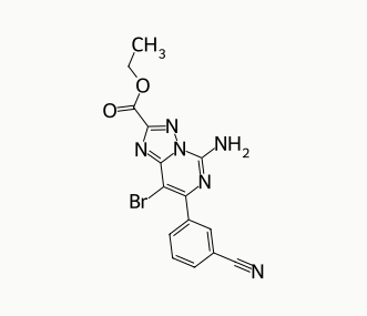 CCOC(=O)c1nc2c(Br)c(-c3cccc(C#N)c3)nc(N)n2n1